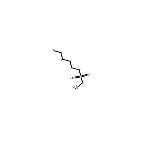 CCCCCCS(=O)(=O)CN